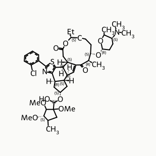 CC[C@H]1CCC[C@H](O[C@H]2CC[C@H](N(C)C)C(C)O2)[C@@H](C)C(=O)C2=C[C@H]3[C@@H]4C[C@H](O[C@H](O)C5(OC)CC(C)[C@H](OC)C5OC)C[C@H]4c4nc(-c5ccccc5Cl)sc4[C@H]3[C@@H]2CC(=O)O1